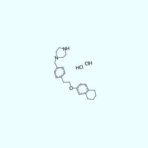 Cl.Cl.c1cc(CN2CCNCC2)ccc1CCOc1ccc2c(c1)CCCC2